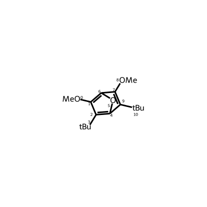 COc1c(C(C)(C)C)c2oc1c(OC)c2C(C)(C)C